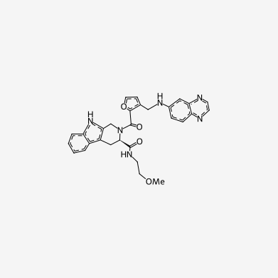 COCCNC(=O)[C@H]1Cc2c([nH]c3ccccc23)CN1C(=O)c1occc1CNc1ccc2nccnc2c1